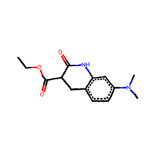 CCOC(=O)C1Cc2ccc(N(C)C)cc2NC1=O